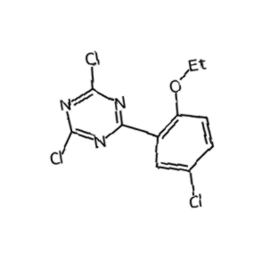 CCOc1ccc(Cl)cc1-c1nc(Cl)nc(Cl)n1